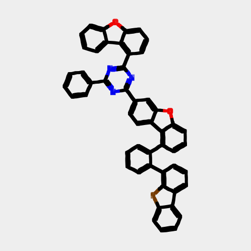 c1ccc(-c2nc(-c3ccc4c(c3)oc3cccc(-c5ccccc5-c5cccc6c5sc5ccccc56)c34)nc(-c3cccc4oc5ccccc5c34)n2)cc1